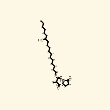 CCCCCCC(O)CCCCCCCCCCCOC(=O)C(C)C(=O)[C@@H]1CCC(=O)N1